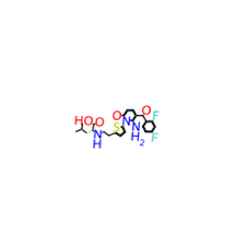 CC(C)C[C@@H](NCCc1ccc(-n2c(N)c(C(=O)c3ccc(F)cc3F)ccc2=O)s1)C(=O)O